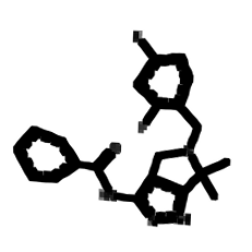 CC1(C)c2[nH]nc(NC(=O)c3ccccc3)c2CN1Cc1ccc(F)cc1F